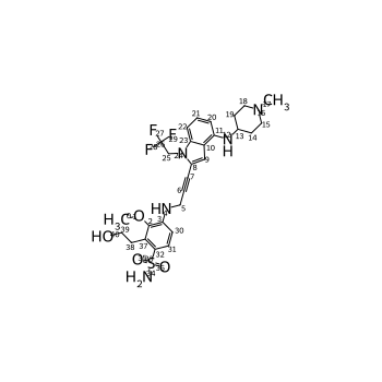 COc1c(NCC#Cc2cc3c(NC4CCN(C)CC4)cccc3n2CC(F)(F)F)ccc(S(N)(=O)=O)c1CCO